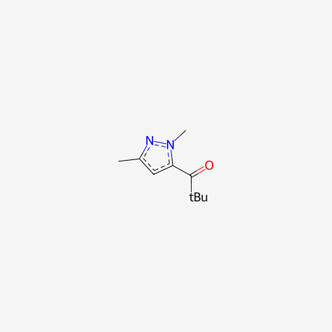 Cc1cc(C(=O)C(C)(C)C)n(C)n1